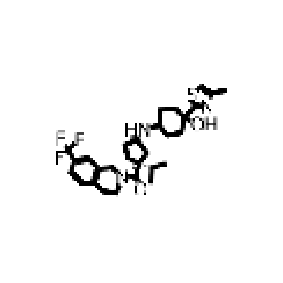 Cc1csc(C2(O)CCC(N[C@@H]3CC[C@@](C(=O)N4CCc5ccc(C(F)(F)F)cc5C4)(C(C)C)C3)CC2)n1